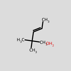 CC=CC(C)(C)C.O